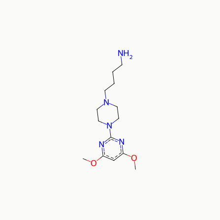 COc1cc(OC)nc(N2CCN(CCCCN)CC2)n1